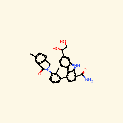 Cc1ccc2c(c1)C(=O)N(c1cccc(-c3ccc(C(N)=O)c4[nH]c5cc(C(O)CO)ccc5c34)c1C)C2